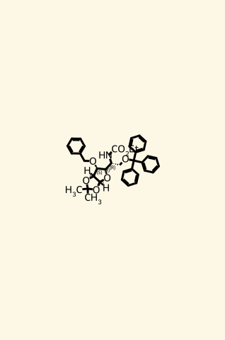 CCOC(=O)N[C@H](COC(c1ccccc1)(c1ccccc1)c1ccccc1)[C@H]1O[C@@H]2OC(C)(C)O[C@@H]2[C@H]1OCc1ccccc1